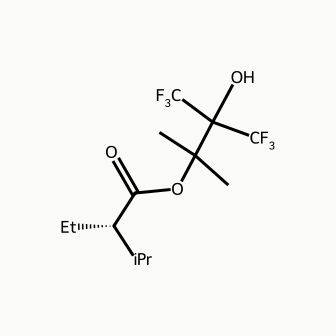 CC[C@H](C(=O)OC(C)(C)C(O)(C(F)(F)F)C(F)(F)F)C(C)C